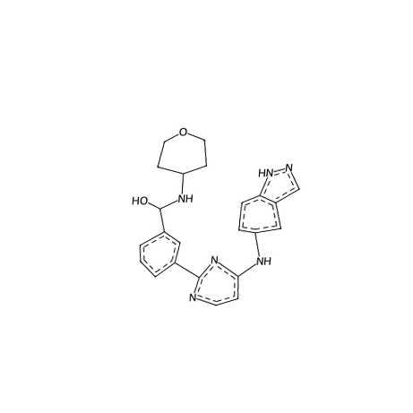 OC(NC1CCOCC1)c1cccc(-c2nccc(Nc3ccc4[nH]ncc4c3)n2)c1